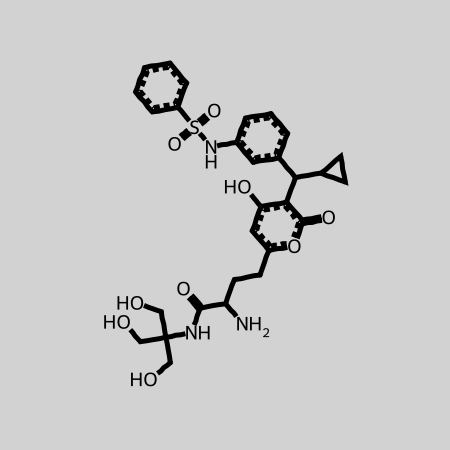 NC(CCc1cc(O)c(C(c2cccc(NS(=O)(=O)c3ccccc3)c2)C2CC2)c(=O)o1)C(=O)NC(CO)(CO)CO